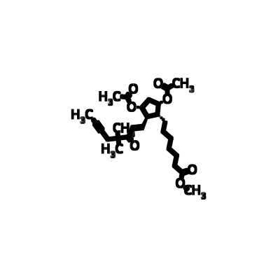 CC#CCC(C)(C)C(=O)/C=C/[C@@H]1[C@@H](CCCCCCC(=O)OC)[C@@H](OC(C)=O)C[C@H]1OC(C)=O